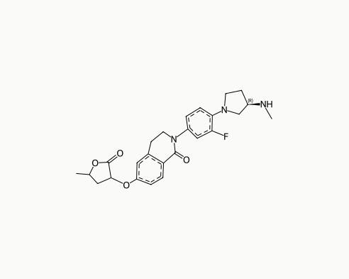 CN[C@@H]1CCN(c2ccc(N3CCc4cc(OC5CC(C)OC5=O)ccc4C3=O)cc2F)C1